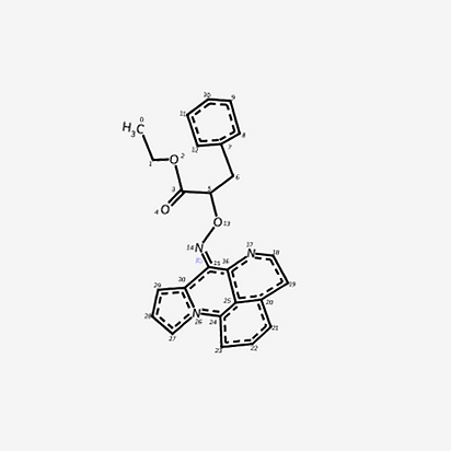 CCOC(=O)C(Cc1ccccc1)O/N=c1\c2nccc3cccc(c32)n2cccc12